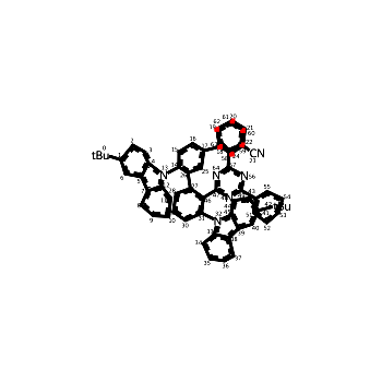 CC(C)(C)c1ccc2c(c1)c1ccccc1n2-c1ccc(-c2cccc(C#N)c2)cc1-c1cccc(-n2c3ccccc3c3cc(C(C)(C)C)ccc32)c1-c1nc(-c2ccccc2)nc(-c2ccccc2)n1